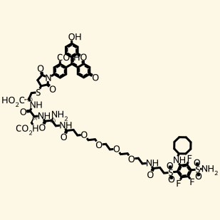 N[C@@H](CNC(=O)CCOCCOCCOCCOCCNC(=O)CCS(=O)(=O)c1c(F)c(F)c(S(N)(=O)=O)c(F)c1NC1CCCCCCC1)C(=O)N[C@@H](CC(=O)O)C(=O)N[C@@H](CSC1CC(=O)N(c2ccc(-c3c4ccc(=O)cc-4oc4cc(O)ccc34)c(C(=O)O)c2)C1=O)C(=O)O